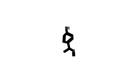 C=NC(C)c1ccc(S)cc1